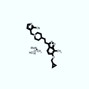 CNC.Cc1c(OCC2CC2)ccc2c(CCC3CCN(Cc4ccsc4C#N)CC3)noc12.Cl.Cl